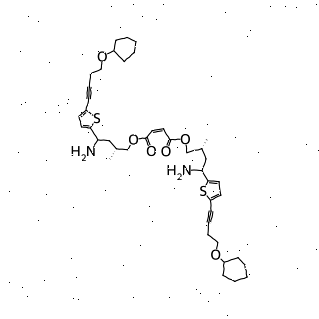 C[C@@H](COC(=O)/C=C\C(=O)OC[C@H](C)CC(N)c1ccc(C#CCCOC2CCCCC2)s1)CC(N)c1ccc(C#CCCOC2CCCCC2)s1